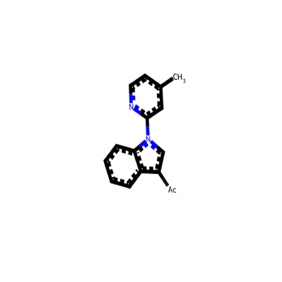 CC(=O)c1cn(-c2cc(C)ccn2)c2ccccc12